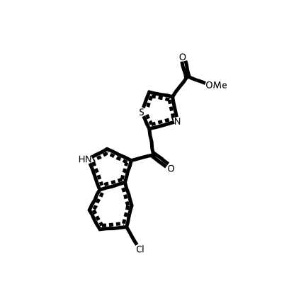 COC(=O)c1csc(C(=O)c2c[nH]c3ccc(Cl)cc23)n1